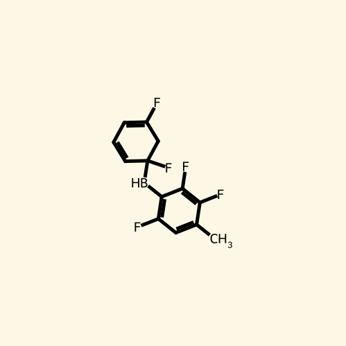 Cc1cc(F)c(BC2(F)C=CC=C(F)C2)c(F)c1F